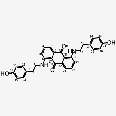 O=C1c2cccc(NCCc3ccc(O)cc3)c2C(=O)c2cccc(NCCc3ccc(O)cc3)c21